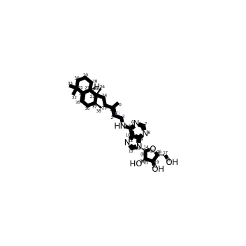 C/C(=C\CNc1ncnc2c1ncn2[C@@H]1O[C@H](CO)C(O)[C@@H]1O)CC[C@@]1(C)[C@@H]2CCCC(C)(C)C2=CC[C@@H]1C